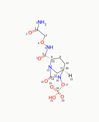 NC(=O)CONC(=O)[C@@H]1CC[C@@H]2CN1C(=O)N2OS(=O)(=O)O